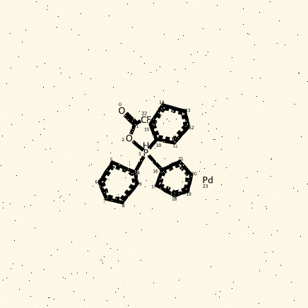 O=C(O[PH](c1ccccc1)(c1ccccc1)c1ccccc1)C(F)(F)F.[Pd]